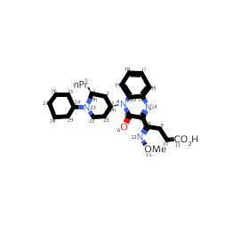 CCC[C@@H]1C[C@H](n2c(=O)c(/C(CCC(=O)O)=N/OC)nc3ccccc32)CCN1C1CCCCC1